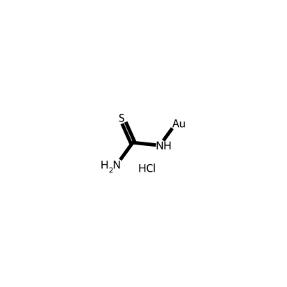 Cl.NC(=S)[NH][Au]